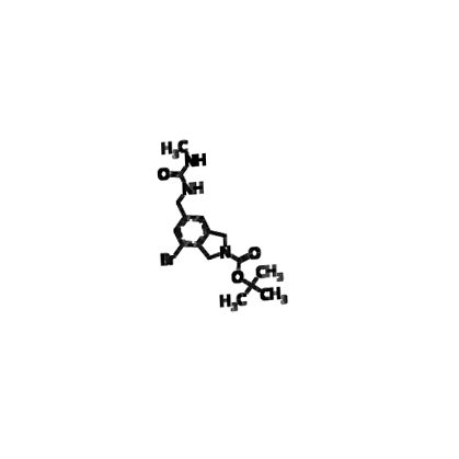 CNC(=O)NCc1cc(Br)c2c(c1)CN(C(=O)OC(C)(C)C)C2